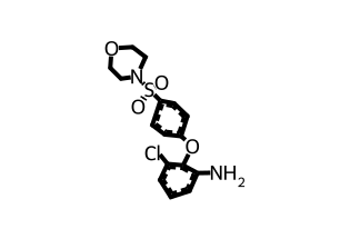 Nc1cccc(Cl)c1Oc1ccc(S(=O)(=O)N2CCOCC2)cc1